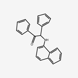 O=C(c1ccccc1)C(Nc1cccc2ccccc12)c1ccccc1